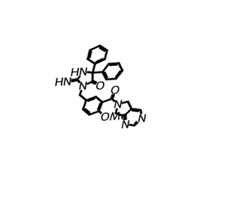 COc1ccc(CN2C(=N)NC(c3ccccc3)(c3ccccc3)C2=O)cc1C(=O)N1Cc2cncnc2C1